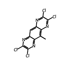 Cc1c2nc(Cl)c(Cl)nc2cc2nc(Cl)c(Cl)nc12